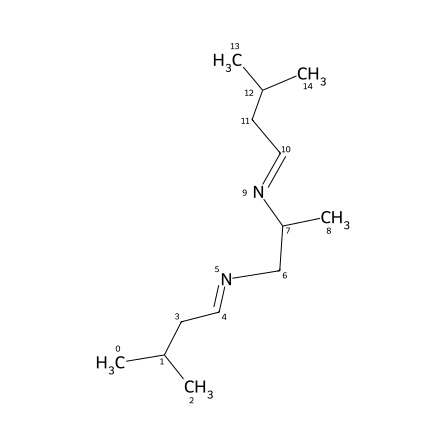 CC(C)CC=NCC(C)N=CCC(C)C